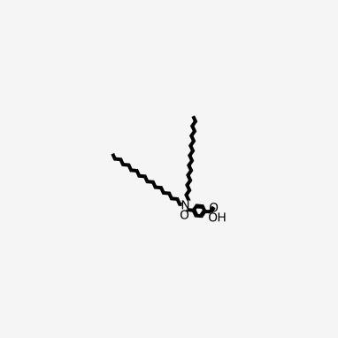 CCCCCCCCCCCCCCCCCCN(CCCCCCCCCCCCCCCCCC)C(=O)c1ccc(C(=O)O)cc1